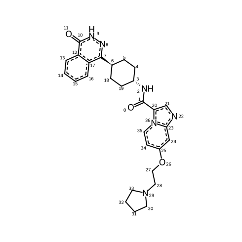 O=C(N[C@H]1CC[C@H](c2n[nH]c(=O)c3ccccc32)CC1)c1cnc2cc(OCCN3CCCC3)ccn12